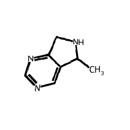 CC1NCc2ncncc21